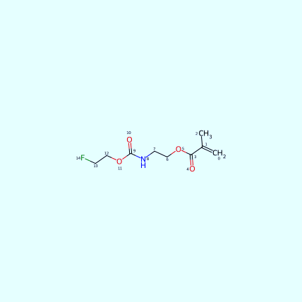 C=C(C)C(=O)OCCNC(=O)OCCF